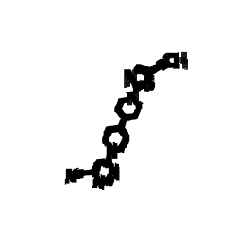 C#Cc1cnc(N2CCC(C3CCN(c4cc(C#N)ncn4)CC3)CC2)s1